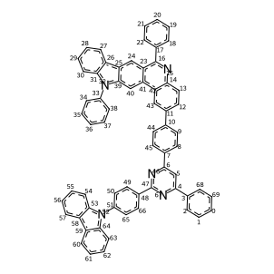 c1ccc(-c2cc(-c3ccc(-c4ccc5nc(-c6ccccc6)c6cc7c8ccccc8n(-c8ccccc8)c7cc6c5c4)cc3)nc(-c3ccc(-n4c5ccccc5c5ccccc54)cc3)n2)cc1